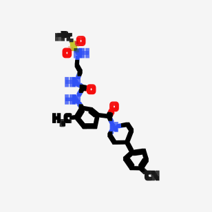 CCCS(=O)(=O)NCCNC(=O)Nc1cc(C(=O)N2CCC(c3ccc(C#N)cc3)CC2)ccc1C